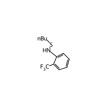 CCCCSNc1ccccc1C(F)(F)F